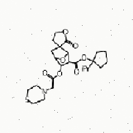 CC(C)C1(OC(=O)C2C(OC(=O)CN3CCSCC3)C3CC4(CCOC4=O)C2O3)CCCC1